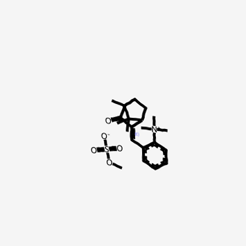 CC12CCC(/C(=C\c3ccccc3[N+](C)(C)C)C1=O)C2(C)C.COS(=O)(=O)[O-]